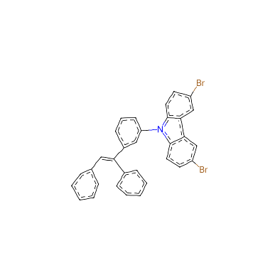 Brc1ccc2c(c1)c1cc(Br)ccc1n2-c1cccc(C(=Cc2ccccc2)c2ccccc2)c1